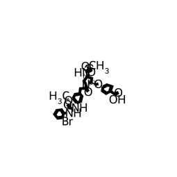 COc1cc(CC(=O)N2C[C@@H](NS(C)(=O)=O)C[C@H]2COc2ccc(C(=O)O)cc2)ccc1NC(=O)Nc1ccccc1Br